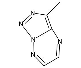 Cc1nnn2nccnc12